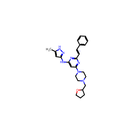 Cc1cc(Nc2cc(N3CCN(CC4CCCO4)CC3)nc(/C=C/c3ccccc3)n2)n[nH]1